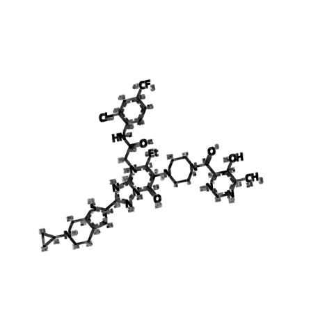 CCc1c(N2CCN(C(=O)c3ncnc(C)c3O)CC2)c(=O)n2nc(-c3cc4c(s3)CN(C3CC3)CC4)nc2n1CC(=O)Nc1ccc(C(F)(F)F)cc1Cl